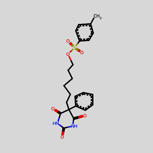 Cc1ccc(S(=O)(=O)OCCCCCCC2(c3ccccc3)C(=O)NC(=O)NC2=O)cc1